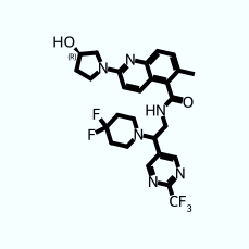 Cc1ccc2nc(N3CC[C@@H](O)C3)ccc2c1C(=O)NCC(c1cnc(C(F)(F)F)nc1)N1CCC(F)(F)CC1